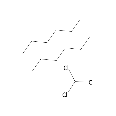 CCCCCC.CCCCCC.ClC(Cl)Cl